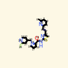 Cc1cccc(/C=C/c2csc(NC(=O)c3cccn3Cc3ccnc(F)c3)n2)n1